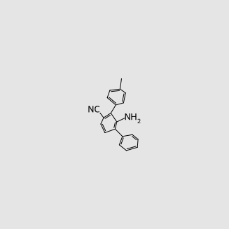 Cc1ccc(-c2c(C#N)ccc(-c3ccccc3)c2N)cc1